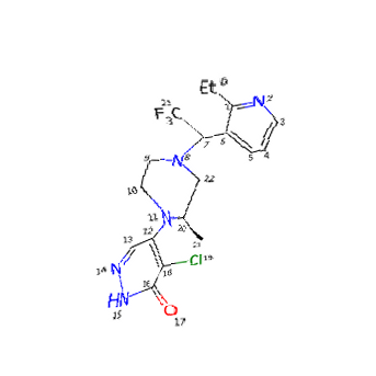 CCc1ncccc1C(N1CCN(c2cn[nH]c(=O)c2Cl)[C@H](C)C1)C(F)(F)F